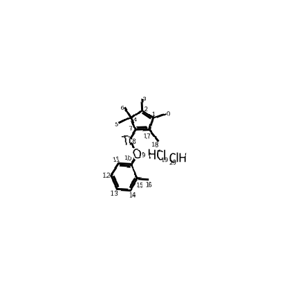 CC1=C(C)C(C)(C)[C]([Ti][O]c2ccccc2C)=C1C.Cl.Cl